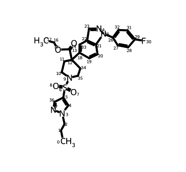 CCCn1cc(S(=O)(=O)N2CCC(C(=O)OCC)(c3ccc4c(cnn4-c4ccc(F)cc4)c3)CC2)cn1